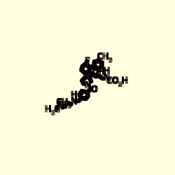 Cc1cccc(-c2c(F)cccc2C(O)(CCCNC(=O)O)C2CCCN(C(=O)c3ccc(CNCCCN(C)C)cc3)C2)c1